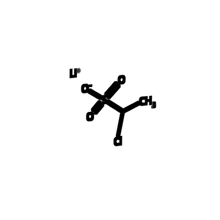 CC(Cl)S(=O)(=O)[O-].[Li+]